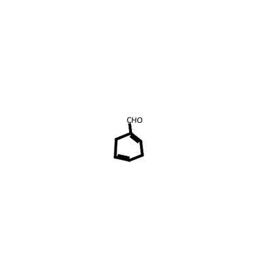 O=CC1=CCC=CC1